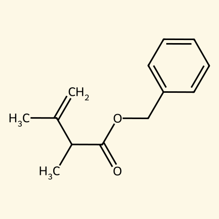 C=C(C)C(C)C(=O)OCc1ccccc1